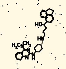 CN(C)c1nc(N[C@H]2CC[C@@H](CNCCCC(O)c3ccc4c5c(cccc35)CC4)CC2)nc2ccccc12